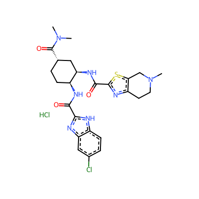 CN1CCc2nc(C(=O)N[C@@H]3C[C@@H](C(=O)N(C)C)CC[C@@H]3NC(=O)c3nc4cc(Cl)ccc4[nH]3)sc2C1.Cl